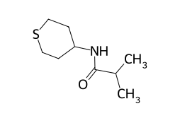 CC(C)C(=O)NC1CCSCC1